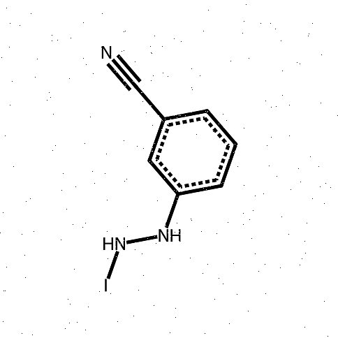 N#Cc1cccc(NNI)c1